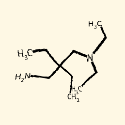 CCN(CC)CC(CC)(CC)CN